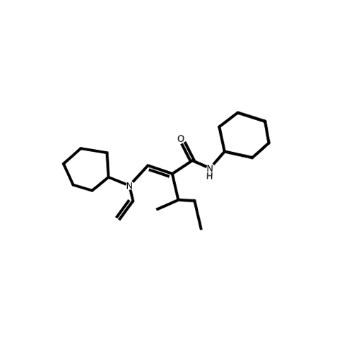 C=CN(/C=C(/C(=O)NC1CCCCC1)C(C)CC)C1CCCCC1